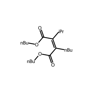 CCCCOC(=O)C(CCCC)=C(C(=O)OCCCC)C(C)C